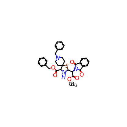 CC(C)(C)OC(=O)C(C1NC(C(=O)OCc2ccccc2)C2(CCN(Cc3ccccc3)CC2)S1)N1C(=O)c2ccccc2C1=O